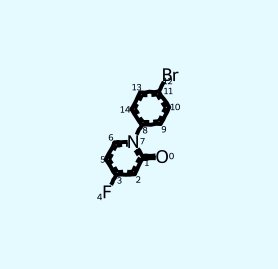 O=c1cc(F)ccn1-c1ccc(Br)cc1